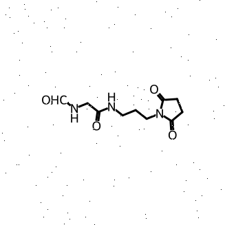 O=CNCC(=O)NCCCN1C(=O)CCC1=O